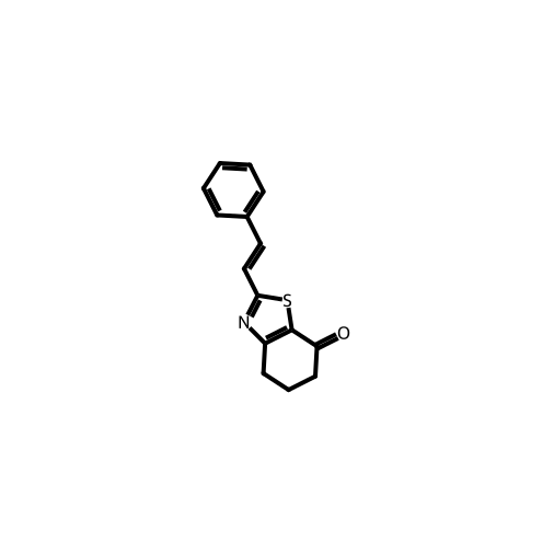 O=C1CCCc2nc(C=Cc3ccccc3)sc21